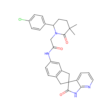 CC1(C)CCC(c2ccc(Cl)cc2)N(CC(=O)Nc2ccc3c(c2)CC2(C3)C(=O)Nc3ncccc32)C1=O